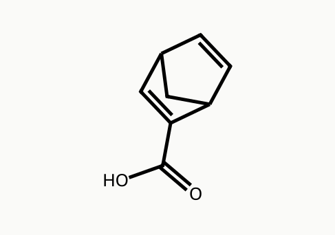 O=C(O)C1=CC2C=CC1C2